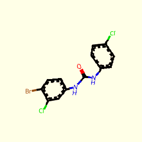 O=C(Nc1ccc(Cl)cc1)Nc1ccc(Br)c(Cl)c1